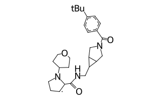 CC(C)(C)c1ccc(C(=O)N2CC3C(CNC(=O)C4[CH]CCN4C4CCOCC4)C3C2)cc1